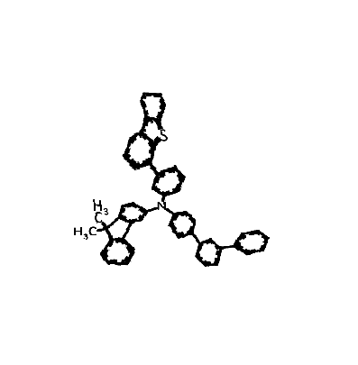 CC1(C)c2ccccc2-c2cc(N(c3ccc(-c4cccc(-c5ccccc5)c4)cc3)c3cccc(-c4cccc5c4sc4ccccc45)c3)ccc21